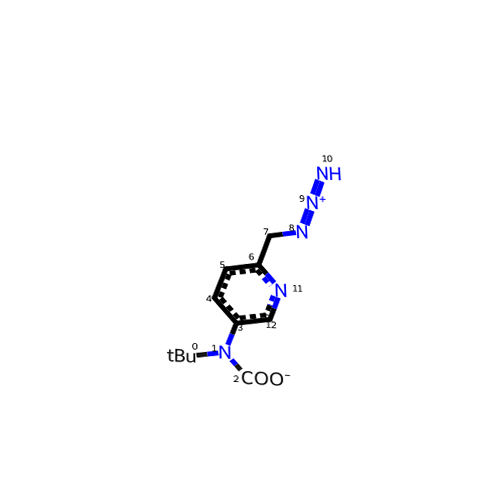 CC(C)(C)N(C(=O)[O-])c1ccc(CN=[N+]=N)nc1